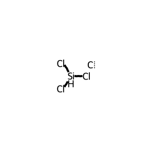 Cl[SiH](Cl)Cl.[C]